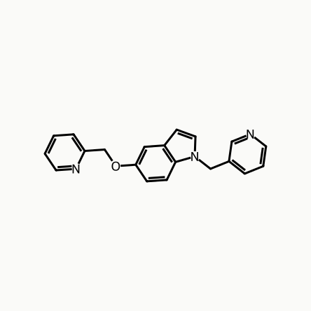 c1ccc(COc2ccc3c(ccn3Cc3cccnc3)c2)nc1